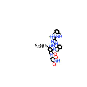 CC(=O)NCc1cc2c(c(N3CCc4ccccc4C3Nc3ncc4c(Nc5c(C)cccc5C)nn(C)c4n3)c1)C(=O)N(C1CCC(=O)NC1=O)C2